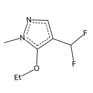 CCOc1c(C(F)F)cnn1C